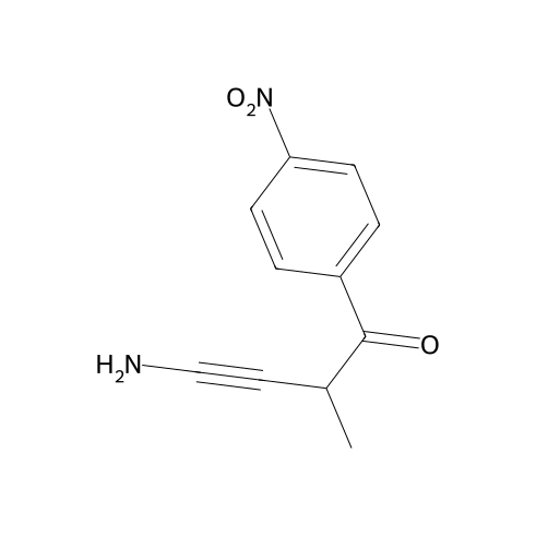 CC(C#CN)C(=O)c1ccc([N+](=O)[O-])cc1